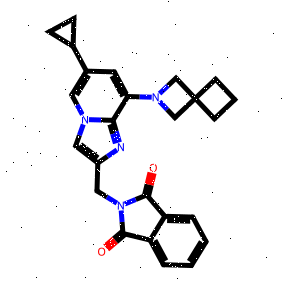 O=C1c2ccccc2C(=O)N1Cc1cn2cc(C3CC3)cc(N3CC4(CCC4)C3)c2n1